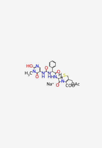 CC(=O)OCC1=C(C(=O)[O-])N2C(=O)C(NC(=O)C(NC(=O)Nc3cnc(O)n(C)c3=O)c3ccccc3)[C@@H]2SC1.[Na+]